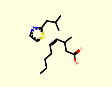 CC(C)Cc1nccs1.CCCC/C=C\C(C)CC(=O)O